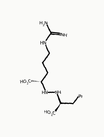 CC(C)C[C@H](NN[C@@H](CCCNC(=N)N)C(=O)O)C(=O)O